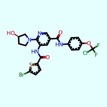 O=C(Nc1ccc(OC(F)(F)Cl)cc1)c1cnc(N2CC[C@@H](O)C2)c(NC(=O)c2ccc(Br)s2)c1